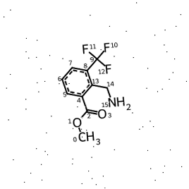 COC(=O)c1cccc(C(F)(F)F)c1CN